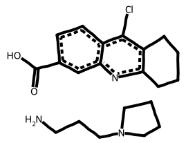 NCCCN1CCCC1.O=C(O)c1ccc2c(Cl)c3c(nc2c1)CCCC3